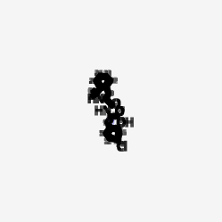 CC1(C)NC(C(=O)N/C(=C/c2ccc(Cl)cc2)C(=O)O)Cc2ccccc21